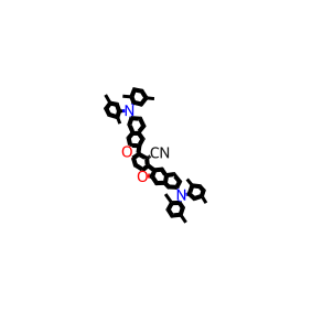 Cc1ccc(C)c(N(c2ccc3cc4c(cc3c2)oc2cc3oc5cc6cc(N(c7cc(C)ccc7C)c7cc(C)ccc7C)ccc6cc5c3c(C#N)c24)c2cc(C)ccc2C)c1